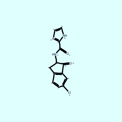 O=C(NC1Cc2ccc(Cl)cc2C1=O)c1ncc[nH]1